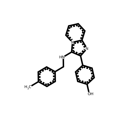 Cc1ccc(CNc2c(-c3ccc(O)cc3)nc3ccccn23)cc1